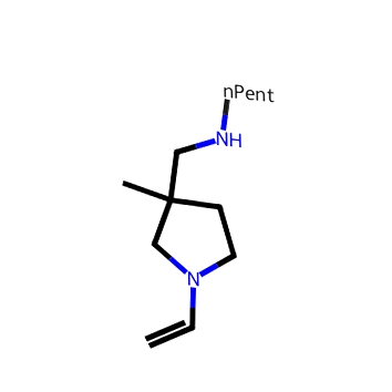 C=CN1CCC(C)(CNCCCCC)C1